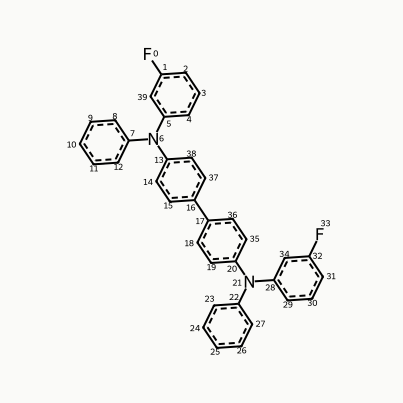 Fc1cccc(N(c2ccccc2)c2ccc(-c3ccc(N(c4ccccc4)c4cccc(F)c4)cc3)cc2)c1